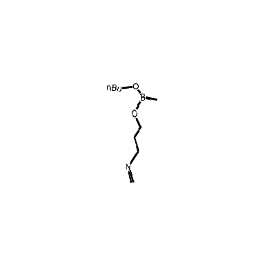 C=NCCCOB(C)OCCCC